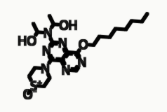 CCCCCCCCOc1ncnc2c(N3CC[S+]([O-])CC3)nc(N(C(C)O)C(C)O)nc12